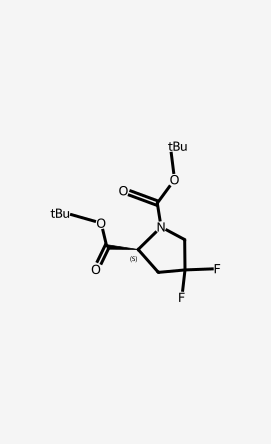 CC(C)(C)OC(=O)[C@@H]1CC(F)(F)CN1C(=O)OC(C)(C)C